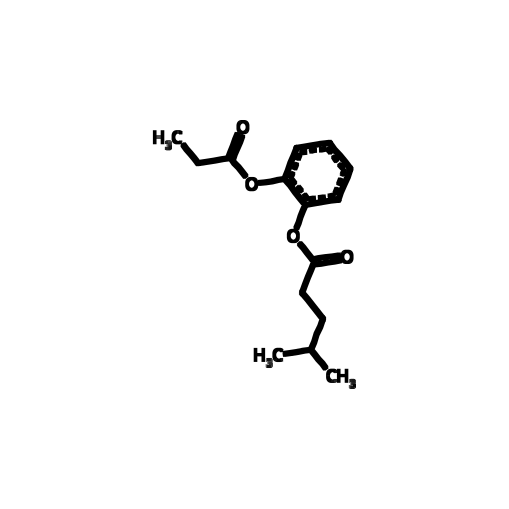 CCC(=O)Oc1ccccc1OC(=O)CCC(C)C